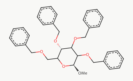 CO[C@H]1OC(COCc2ccccc2)[C@H](OCc2ccccc2)C(OCc2ccccc2)C1OCc1ccccc1